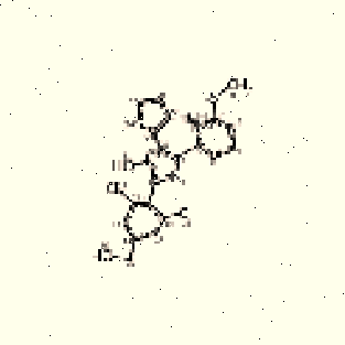 CSc1nccc(-c2nc(-c3c(Cl)cc(CO)cc3Cl)n(O)c2-c2sccc2C)n1